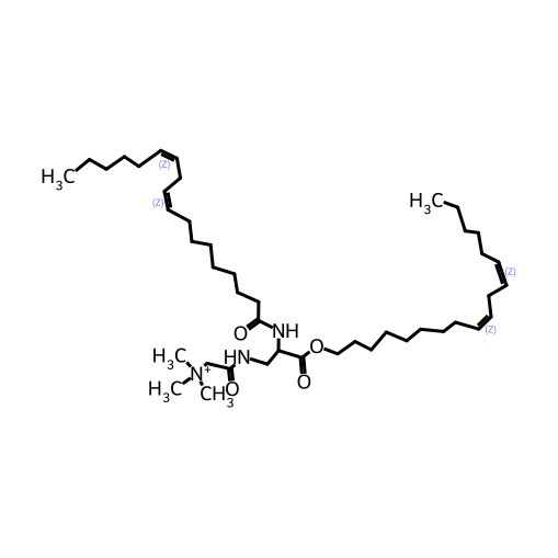 CCCCC/C=C\C/C=C\CCCCCCCCOC(=O)C(CNC(=O)C[N+](C)(C)C)NC(=O)CCCCCCC/C=C\C/C=C\CCCCC